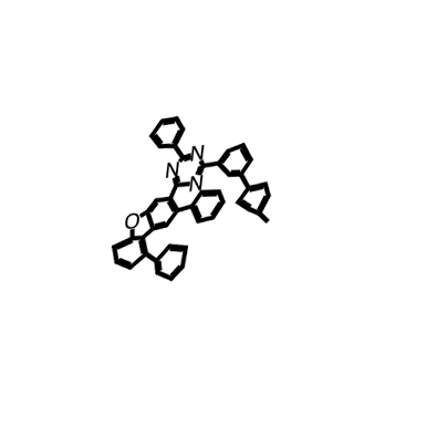 Cc1ccc(-c2cccc(-c3nc(-c4ccccc4)nc(-c4cc5oc6cccc(-c7ccccc7)c6c5cc4-c4ccccc4)n3)c2)cc1